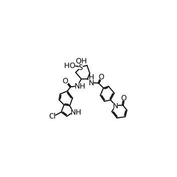 O=C(NC1CCS(O)(O)CC1NC(=O)c1ccc2c(Cl)c[nH]c2c1)c1ccc(-n2ccccc2=O)cc1